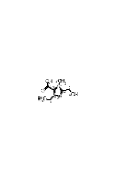 CCc1nc(CO)n(C)c1C(=O)O